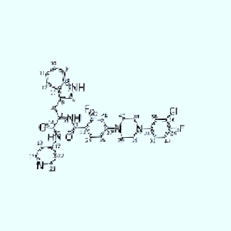 O=C(NC(Cc1c[nH]c2ccccc12)C(=O)Nc1ccncc1)c1ccc(N2CCN(c3ccc(F)c(Cl)c3)CC2)cc1F